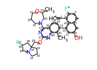 C#Cc1c(F)ccc2cc(O)cc(-c3ccc4c(N5CCCOC(C)C5)nc(OCC56CCCN5CC(F)C6)nc4c3C)c12